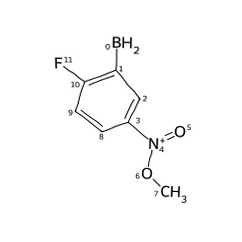 Bc1cc([N+](=O)OC)ccc1F